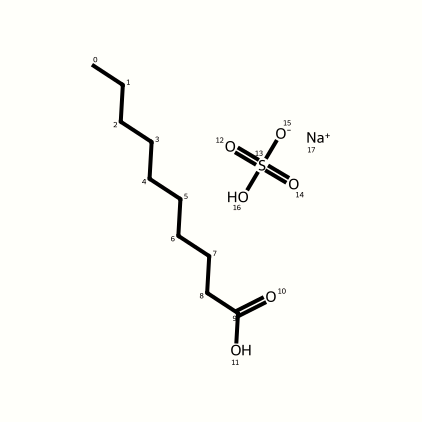 CCCCCCCCCC(=O)O.O=S(=O)([O-])O.[Na+]